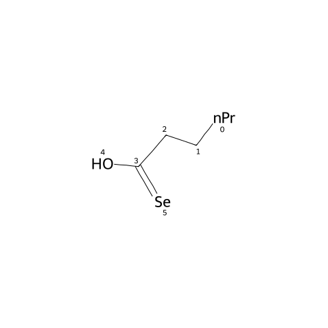 CCCCCC(O)=[Se]